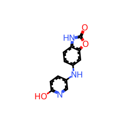 O=c1[nH]c2ccc(Nc3ccc(O)nc3)cc2o1